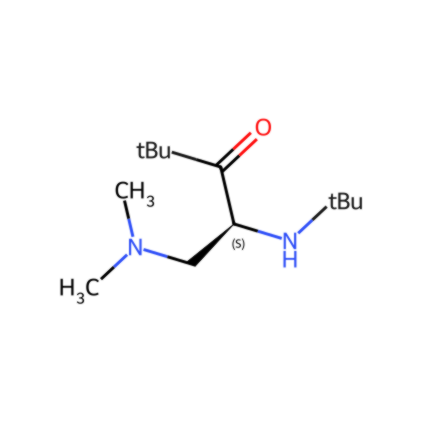 CN(C)C[C@H](NC(C)(C)C)C(=O)C(C)(C)C